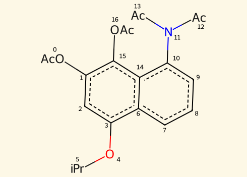 CC(=O)Oc1cc(OC(C)C)c2cccc(N(C(C)=O)C(C)=O)c2c1OC(C)=O